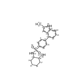 Cc1cc2c(-c3ccc(S(=O)(=O)NC4CCCCC4O)cc3)ccnc2[nH]1